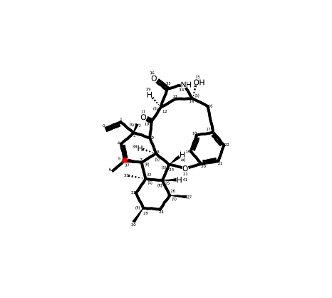 C=C[C@@]1(C)C=C(C)[C@@H]2[C@H]3C1C(=O)[C@@H]1C[C@](O)(Cc4ccc(cc4)O[C@@H]3[C@@H]3[C@@H](C)C[C@@H](C)C[C@]32C)NC1=O